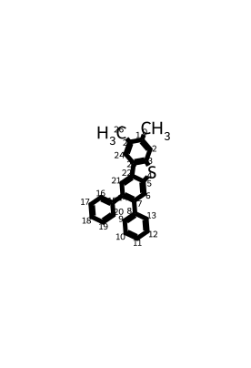 Cc1cc2sc3cc(-c4ccccc4)c(-c4ccccc4)cc3c2cc1C